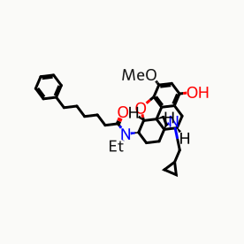 CCN(C(=O)CCCCCc1ccccc1)[C@@H]1CC[C@H]2[C@H]3Cc4c(O)cc(OC)c5c4[C@@]2(CCN3CC2CC2)[C@H]1O5